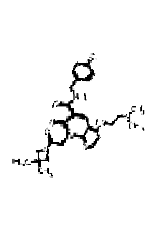 CN(C)CCNc1ccnc2c1cc(C(=O)NCc1ccc(Cl)cc1)c(=O)n2CC(=O)N1CC(C)(C)C1